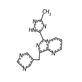 Cc1n[nH]c(-c2nc(Cc3cncnc3)c3ncccn23)n1